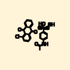 CC(=O)Nc1ccc([As](=O)(O)OO)cc1.O=C1c2ccccc2C(=O)c2c(Cl)cccc21